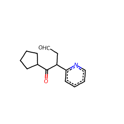 O=CCC(C(=O)C1CCCC1)c1ccccn1